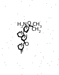 C=C(C)C(=O)N1C=CC(N2CCCc3cc(C(=O)N4CCC[C@H](F)C4)cnc32)=CC1N